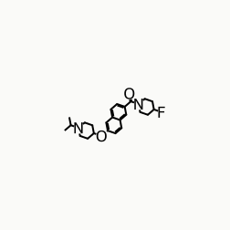 CC(C)N1CCC(Oc2ccc3cc(C(=O)N4CCC(F)CC4)ccc3c2)CC1